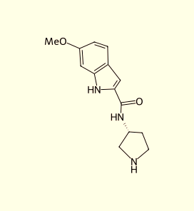 COc1ccc2cc(C(=O)N[C@@H]3CCNC3)[nH]c2c1